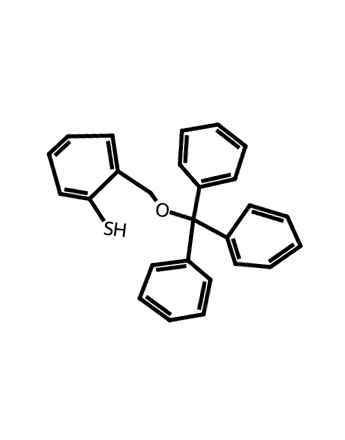 Sc1ccccc1COC(c1ccccc1)(c1ccccc1)c1ccccc1